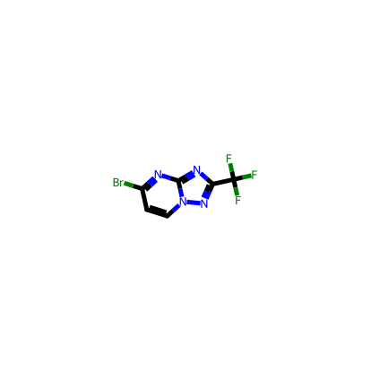 FC(F)(F)c1nc2nc(Br)ccn2n1